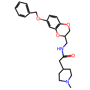 CN1CCC(CC(=O)NCC2COc3ccc(OCc4ccccc4)cc3O2)CC1